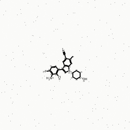 Cc1cc2c(cc1C#N)c(-c1ccc(F)c(N)c1Cl)cn2[C@H]1CC[C@@H](O)CC1